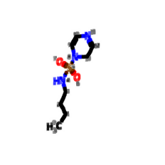 CCCCNS(=O)(=O)N1C=CN=CC1